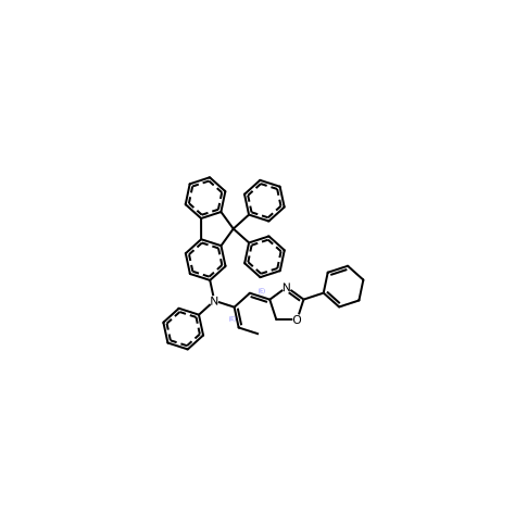 C/C=C(\C=C1/COC(C2=CCCC=C2)=N1)N(c1ccccc1)c1ccc2c(c1)C(c1ccccc1)(c1ccccc1)c1ccccc1-2